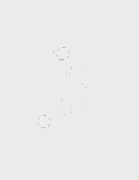 CC(C)(C)OC(=O)NC(Cc1ccccc1)C(=O)OC(CO/N=C(\Cl)c1cccnc1)CN1CCCCC1